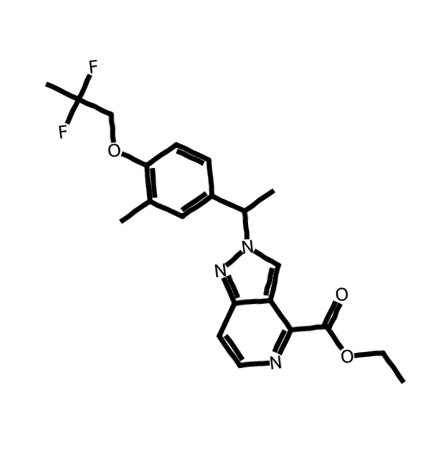 CCOC(=O)c1nccc2nn(C(C)c3ccc(OCC(C)(F)F)c(C)c3)cc12